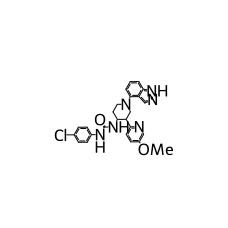 COc1ccc(C2CN(c3cccc4[nH]ncc34)CCC2NC(=O)Nc2ccc(Cl)cc2)nc1